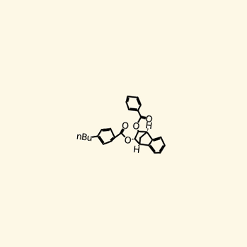 CCCCc1ccc(C(=O)O[C@@H]2[C@H](OC(=O)c3ccccc3)[C@@H]3C[C@H]2c2ccccc23)cc1